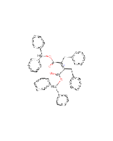 O=C([O][SnH]([c]1ccccc1)[c]1ccccc1)/C(Cc1ccccc1)=C(/Cc1ccccc1)C(=O)[O][SnH]([c]1ccccc1)[c]1ccccc1